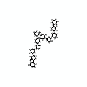 c1cc(-c2cccc(-c3ccc4c(c3)c3cc(-c5cccc(-c6cccc(-c7ccc8c(c7)sc7ccccc78)c6)c5)ccc3c3nccnc43)c2)cc(-c2ccc3c(c2)sc2ccccc23)c1